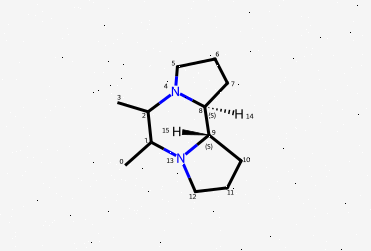 CC1C(C)N2CCC[C@H]2[C@@H]2CCCN12